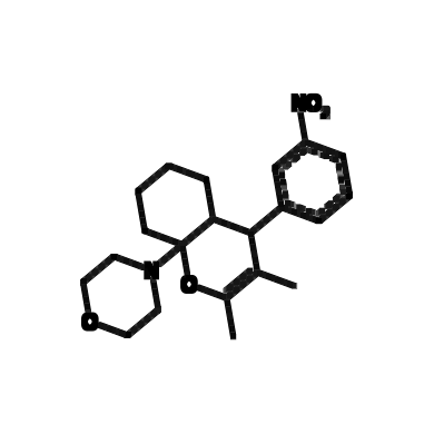 CC1=C(C)C(c2cccc([N+](=O)[O-])c2)C2CCCCC2(N2CCOCC2)O1